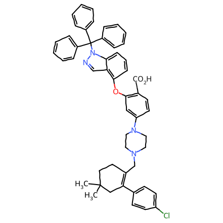 CC1(C)CCC(CN2CCN(c3ccc(C(=O)O)c(Oc4cccc5c4cnn5C(c4ccccc4)(c4ccccc4)c4ccccc4)c3)CC2)=C(c2ccc(Cl)cc2)C1